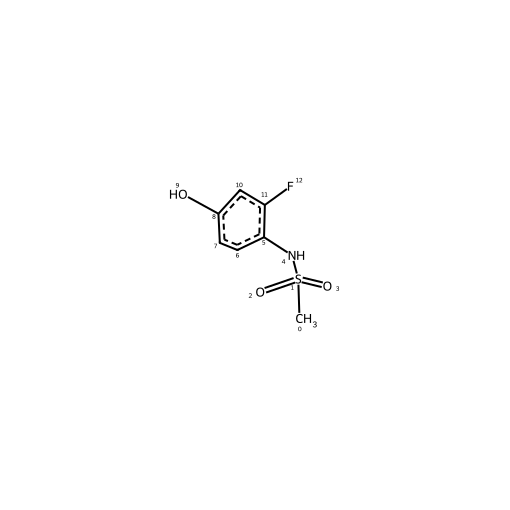 CS(=O)(=O)Nc1ccc(O)cc1F